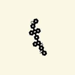 c1ccc2c(c1)oc1ccc(-c3c4ccccc4c(-c4ccc(-c5cc6sc7cc8c(cc7c6c6ccccc56)sc5ccccc58)cc4)c4ccccc34)cc12